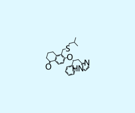 CC(C)CSCc1c(OC(Cc2ncc[nH]2)c2ccccc2)ccc2c1CCCC2=O